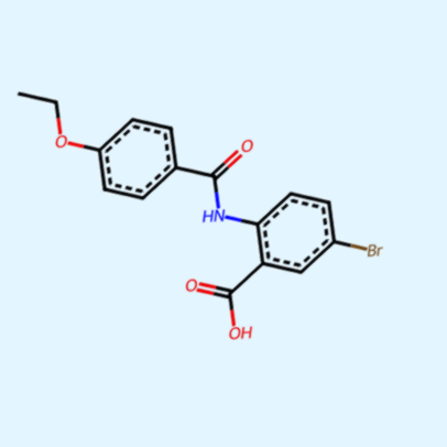 CCOc1ccc(C(=O)Nc2ccc(Br)cc2C(=O)O)cc1